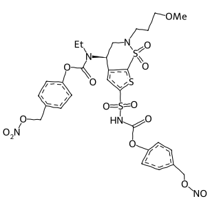 CCN(C(=O)Oc1ccc(CO[N+](=O)[O-])cc1)[C@H]1CN(CCCOC)S(=O)(=O)c2sc(S(=O)(=O)NC(=O)Oc3ccc(CON=O)cc3)cc21